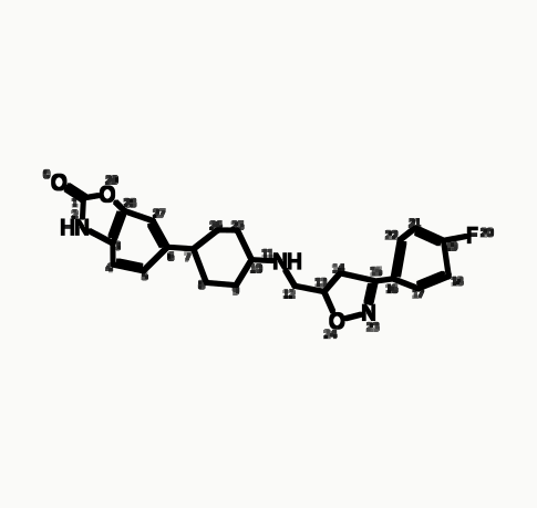 O=c1[nH]c2ccc(C3CCC(NCC4CC(c5ccc(F)cc5)=NO4)CC3)cc2o1